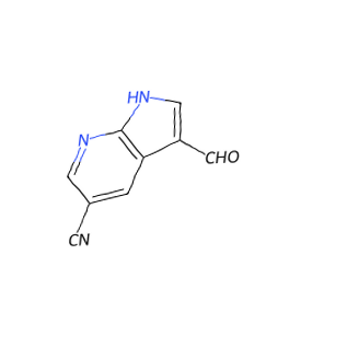 N#Cc1cnc2[nH]cc(C=O)c2c1